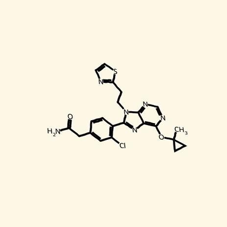 CC1(Oc2ncnc3c2nc(-c2ccc(CC(N)=O)cc2Cl)n3CCc2nccs2)CC1